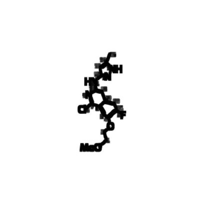 COCCOc1cc2c(Cl)nc(Nc3cc(C)[nH]n3)cc2cc1F